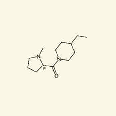 CCC1CCN(C(=O)[C@H]2CCCN2C)CC1